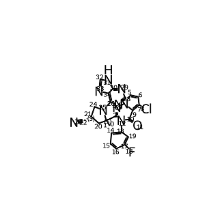 C[C@@]1(c2nn3ccc(Cl)c3c(=O)n2-c2cccc(F)c2)C[C@H](C#N)CN1c1ncnc2[nH]cnc12